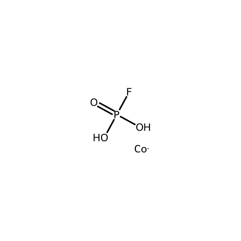 O=P(O)(O)F.[Co]